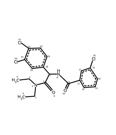 CCN(CC)C(=O)C(NC(=O)c1cccc(Cl)c1)c1ccc(Cl)c(Cl)c1